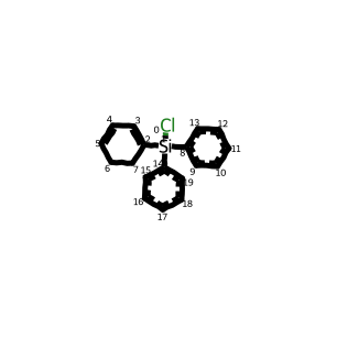 Cl[Si](C1=CC=CCC1)(c1ccccc1)c1ccccc1